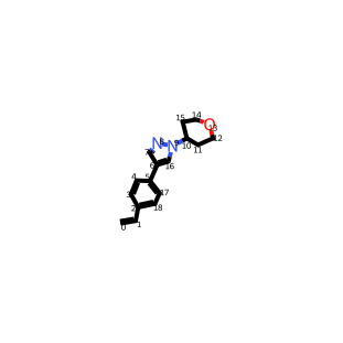 C=Cc1ccc(-c2cnn(C3CCOCC3)c2)cc1